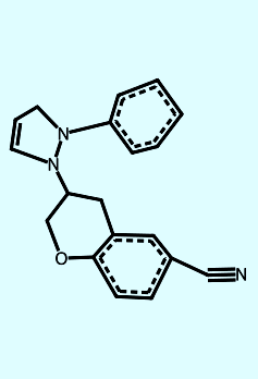 N#Cc1ccc2c(c1)CC(N1C=CCN1c1ccccc1)CO2